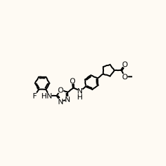 COC(=O)C1CCC(c2ccc(NC(=O)c3nnc(Nc4ccccc4F)o3)cc2)C1